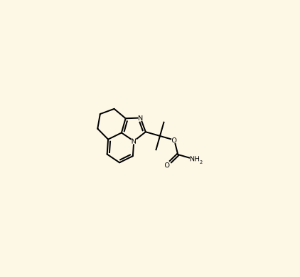 CC(C)(OC(N)=O)c1nc2c3c(cccn13)CCC2